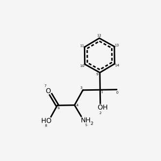 CC(O)(CC(N)C(=O)O)c1ccccc1